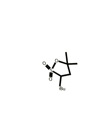 CCC(C)C1CC(C)(C)OS1(=O)=O